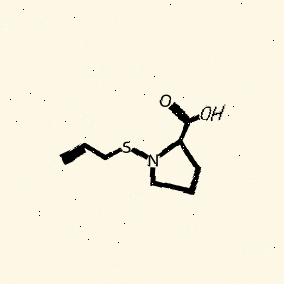 C=CCSN1CCCC1C(=O)O